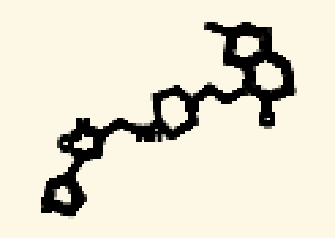 Cc1cnc2ccc(=O)n(CCN3CCC(NCc4cc(-c5ccsc5)on4)CC3)c2c1